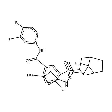 O=C(CC1(O)C2CCC1CC(S(=O)(=O)c1cc(C(=O)Nc3ccc(F)c(F)c3)ccc1Cl)C2)NC1CC(O)C1